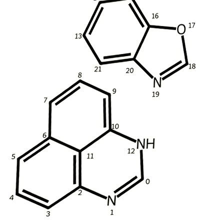 C1=Nc2cccc3cccc(c23)N1.c1ccc2ocnc2c1